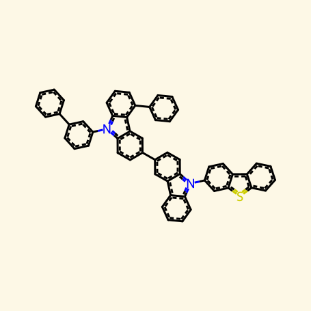 c1ccc(-c2cccc(-n3c4ccc(-c5ccc6c(c5)c5ccccc5n6-c5ccc6c(c5)sc5ccccc56)cc4c4c(-c5ccccc5)cccc43)c2)cc1